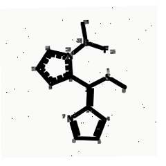 CS/C(=C1\C=CC=N1)c1cccn1B(C)F